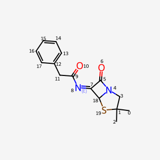 CC1(C)CN2C(=O)/C(=N\C(=O)Cc3ccccc3)C2S1